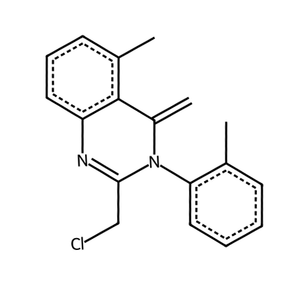 C=C1c2c(C)cccc2N=C(CCl)N1c1ccccc1C